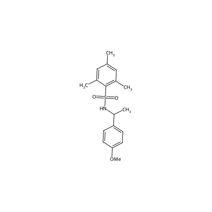 COc1ccc(C(C)NS(=O)(=O)c2c(C)cc(C)cc2C)cc1